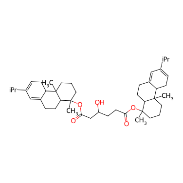 CC(C)C1=CCC2C(=C1)CCC1C(C)(OC(=O)CCC(O)CC(=O)OC3(C)CCCC4(C)C5CC=C(C(C)C)C=C5CCC34)CCCC21C